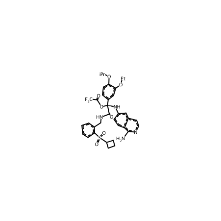 CCOc1cc([C@@](Nc2ccc3c(N)nccc3c2)(OC(=O)C(F)(F)F)C(=O)NCc2ccccc2S(=O)(=O)C2CCC2)ccc1OC(C)C